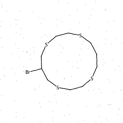 BrC1CSCCSCCCSCCSC1